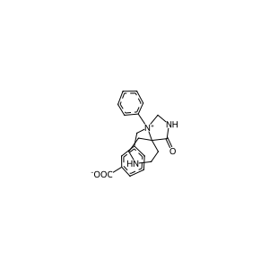 O=C([O-])c1cccc(C[N+]2(c3ccccc3)CNC(=O)C23CCNCC3)c1